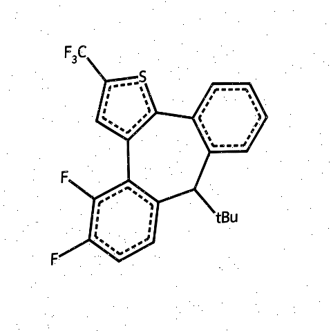 CC(C)(C)C1c2ccccc2-c2sc(C(F)(F)F)cc2-c2c1ccc(F)c2F